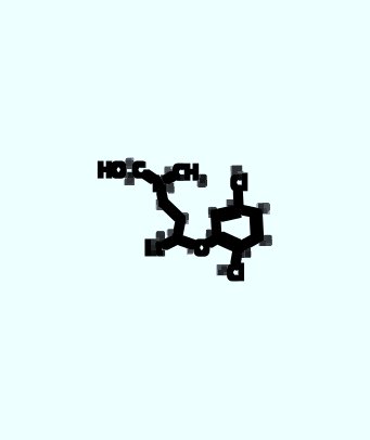 CCC(CCN(C)C(=O)O)Oc1cc(Cl)ccc1Cl